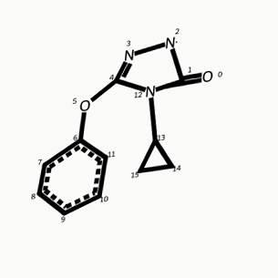 O=C1[N]N=C(Oc2ccccc2)N1C1CC1